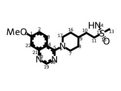 COc1ccc2c(N3CCC(CCS(C)(=N)=O)CC3)ncnc2c1